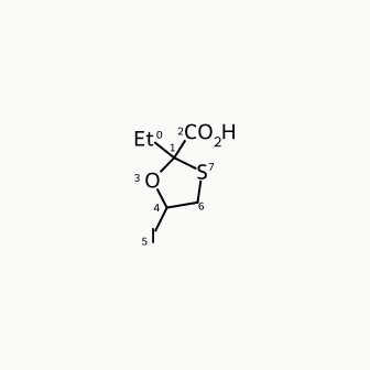 CCC1(C(=O)O)OC(I)CS1